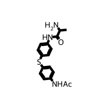 CC(=O)Nc1ccc(Sc2ccc(NC(=O)C(C)N)cc2)cc1